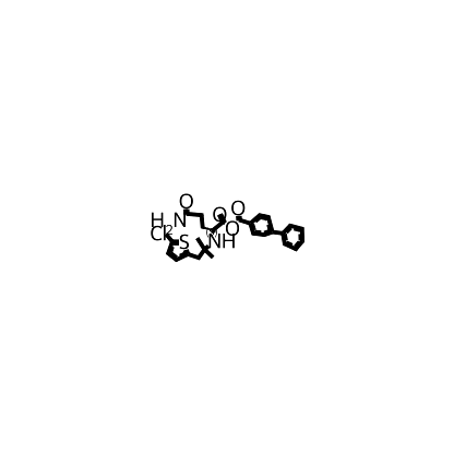 CC(C)(Cc1ccc(Cl)s1)N[C@@H](CCC(N)=O)C(=O)OC(=O)c1ccc(-c2ccccc2)cc1